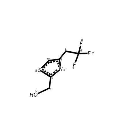 OCc1nc(CC(F)(F)F)cs1